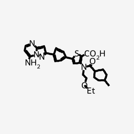 CCOCCN(C(=O)C1CCC(C)CC1)c1cc(-c2ccc(-c3cc4nccc(N)n4n3)cc2)sc1C(=O)O